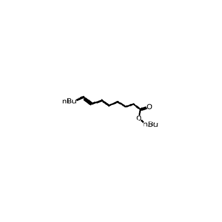 CCCCC=CCCCCCC(=O)OCCCC